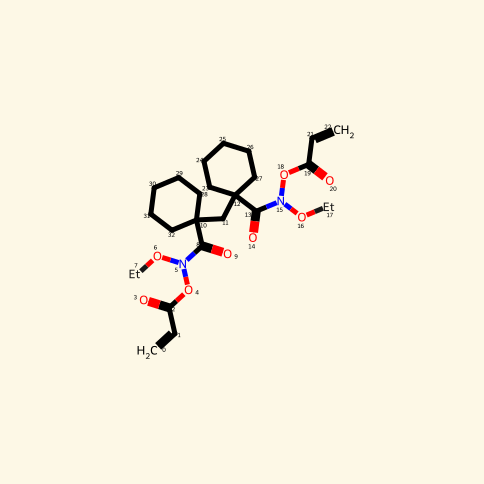 C=CC(=O)ON(OCC)C(=O)C1(CC2(C(=O)N(OCC)OC(=O)C=C)CCCCC2)CCCCC1